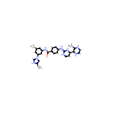 Cc1cn(-c2cc(NC(=O)c3ccc(Nc4nccc(-c5nccnc5C)n4)cc3)cc(C(F)(F)F)c2)cn1